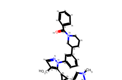 CN1C=C([C@@H]2C[C@H]2c2c(C(=O)O)cnn2-c2cccc(C3CCCN(C(=O)c4ccccc4)C3)c2)NN1